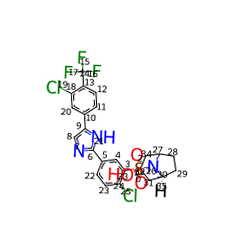 O=S(=O)(c1cc(-c2ncc(-c3ccc(C(F)(F)F)c(Cl)c3)[nH]2)ccc1Cl)N1C2CC[C@H]1C[C@@H](O)C2